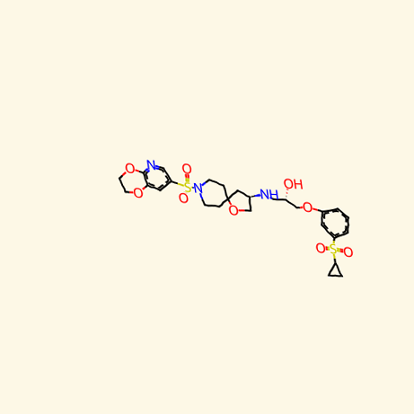 O=S(=O)(c1cccc(OC[C@@H](O)CN[C@H]2COC3(CCN(S(=O)(=O)c4cnc5c(c4)OCCO5)CC3)C2)c1)C1CC1